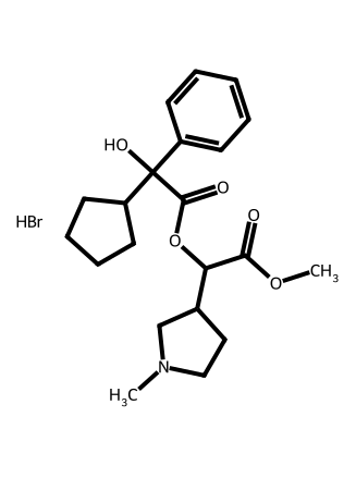 Br.COC(=O)C(OC(=O)C(O)(c1ccccc1)C1CCCC1)C1CCN(C)C1